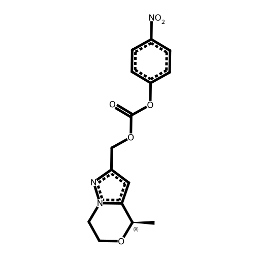 C[C@H]1OCCn2nc(COC(=O)Oc3ccc([N+](=O)[O-])cc3)cc21